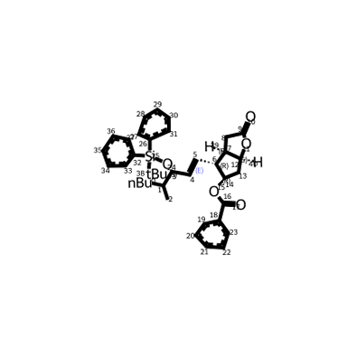 CCCCC(C)[C@@H](/C=C/[C@@H]1[C@H]2CC(=O)O[C@H]2C[C@H]1OC(=O)c1ccccc1)O[Si](c1ccccc1)(c1ccccc1)C(C)(C)C